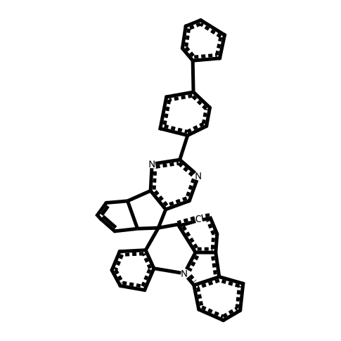 C1=CC2c3nc(-c4ccc(-c5ccccc5)cc4)ncc3C3(c4ccccc4-n4c5ccccc5c5cccc3c54)C2C=C1